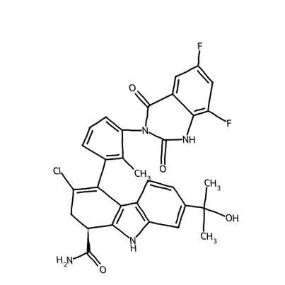 Cc1c(C2=C(Cl)C[C@H](C(N)=O)c3[nH]c4cc(C(C)(C)O)ccc4c32)cccc1-n1c(=O)[nH]c2c(F)cc(F)cc2c1=O